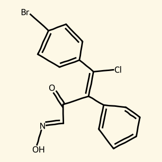 O=C(C=NO)C(=C(Cl)c1ccc(Br)cc1)c1ccccc1